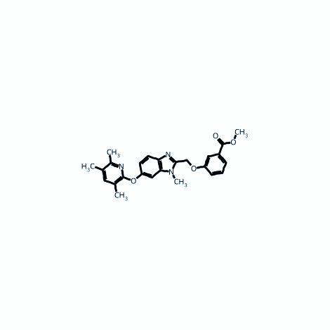 COC(=O)c1cccc(OCc2nc3ccc(Oc4nc(C)c(C)cc4C)cc3n2C)c1